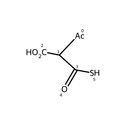 CC(=O)C(C(=O)O)C(=O)S